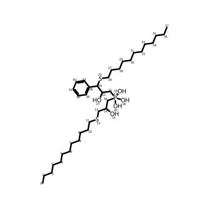 CCCCCCCCCCCCSCC(O)CP(O)(O)(O)CC(O)C(SCCCCCCCCCCCC)c1ccccc1